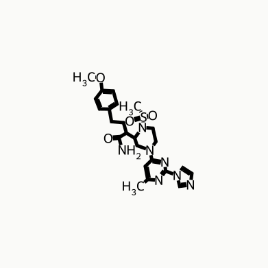 COc1ccc(CCC(C(N)=O)C2CN(c3cc(C)nc(-n4ccnc4)n3)CCN2S(C)(=O)=O)cc1